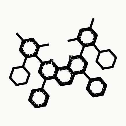 Cc1cc(C)c(-c2cc(-c3ccccc3)c3ccc4c(-c5ccccc5)cc(-c5c(C)cc(C)cc5C5CCCCC5)nc4c3n2)c(C2CCCCC2)c1